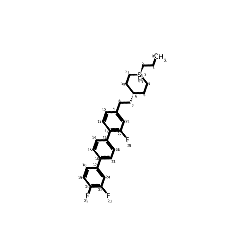 CCC[Si@H]1CC[C@H](CCc2ccc(-c3ccc(-c4ccc(F)c(F)c4)cc3)c(F)c2)CC1